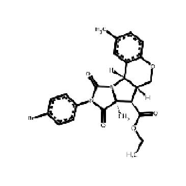 CCOC(=O)[C@@H]1[C@H]2COc3ccc(C)cc3[C@H]2N2C(=O)N(c3ccc(Br)cc3)C(=O)[C@]12C